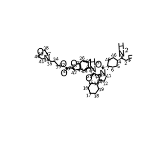 NC(CF)[C@H]1CC[C@H](C(=O)N2CC[C@@H](C3CCCCC3)[C@H]2C(=O)Nc2ccc3oc(C(=O)OCCCN4CCOCC4)cc3c2)CC1